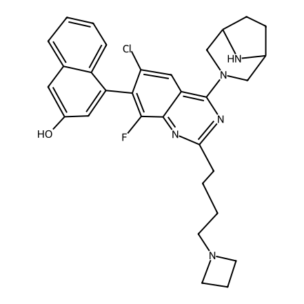 Oc1cc(-c2c(Cl)cc3c(N4CC5CCC(C4)N5)nc(CCCCN4CCC4)nc3c2F)c2ccccc2c1